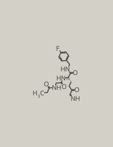 CCC(=O)NCC(=O)N[C@@H](CCC(=O)C=N)C(=O)NCc1ccc(F)cc1